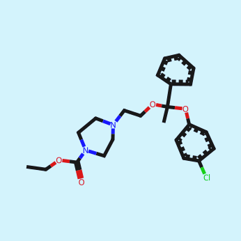 CCOC(=O)N1CCN(CCOC(C)(Oc2ccc(Cl)cc2)c2ccccc2)CC1